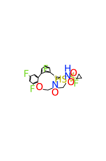 O=C1CCOc2c(F)cc(F)cc2-c2cccc(c2F)C[C@]23CC2[SH](NS(=O)(=O)C2(F)CC2)CCCN13